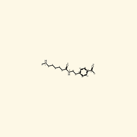 CNCCCCCC(=O)NCCc1ccc(C(C)=O)cc1